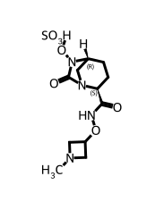 CN1CC(ONC(=O)[C@@H]2CC[C@@H]3CN2C(=O)N3OS(=O)(=O)O)C1